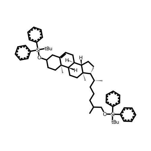 CC(CCC[C@@H](C)[C@H]1CC[C@H]2[C@@H]3CC=C4CC(O[Si](c5ccccc5)(c5ccccc5)C(C)(C)C)CC[C@]4(C)[C@H]3CC[C@]12C)CO[Si](c1ccccc1)(c1ccccc1)C(C)(C)C